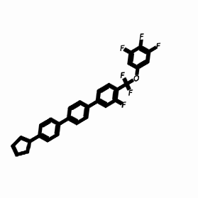 Fc1cc(-c2ccc(-c3ccc(C4CCCC4)cc3)cc2)ccc1C(F)(F)Oc1cc(F)c(F)c(F)c1